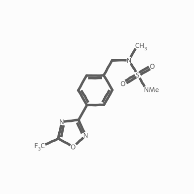 CNS(=O)(=O)N(C)Cc1ccc(-c2noc(C(F)(F)F)n2)cc1